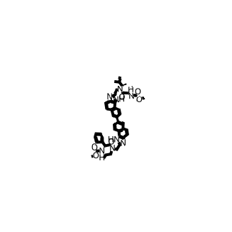 CCCN(Cc1nc2ccc3cc(-c4ccc5c(ccc6nc(CN(C(=O)CNC(=O)OC)[C@H](C)C(C)C)[nH]c65)c4)ccc3c2[nH]1)C(=O)[C@H](NC(=O)OC)c1ccccc1